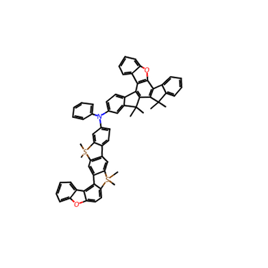 CC1(C)c2ccccc2-c2c1c1c(c3c2oc2ccccc23)-c2ccc(N(c3ccccc3)c3ccc4c(c3)S(C)(C)c3cc5c(cc3-4)S(C)(C)c3ccc4oc6ccccc6c4c3-5)cc2C1(C)C